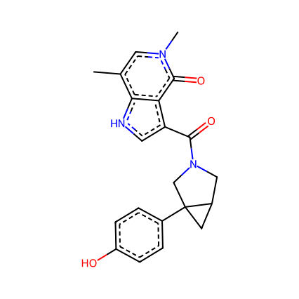 Cc1cn(C)c(=O)c2c(C(=O)N3CC4CC4(c4ccc(O)cc4)C3)c[nH]c12